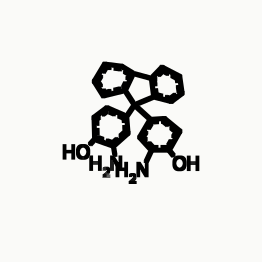 Nc1cc(C2(c3ccc(O)c(N)c3)c3ccccc3-c3ccccc32)ccc1O